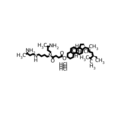 CC[C@H](CC[C@@H](C)[C@H]1CC[C@H]2[C@@H]3CC=C4C[C@@H](OC(=O)CCC(=O)N(CCCCNCCC(C)N)CCC(C)N)CC[C@]4(C)[C@H]3CC[C@]12C)C(C)C.Cl.Cl.Cl